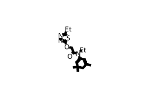 CCc1nnc(OCC(=O)N(CC)C2=CC(C)(C)CC(C)=C2)s1